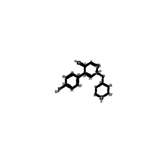 O=c1cnn(CC2CCOCC2)cc1-c1ccc(F)cc1